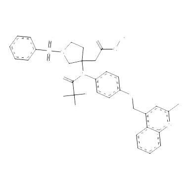 Cc1cc(COc2ccc(N(C(=O)C(F)(F)F)C3(CC(=O)NO)CCN(S(=O)(=O)c4ccccc4)C3)cc2)c2ccccc2n1